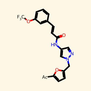 CC(=O)c1ccc(Cn2cc(NC(=O)/C=C/c3cccc(OC(F)(F)F)c3)cn2)o1